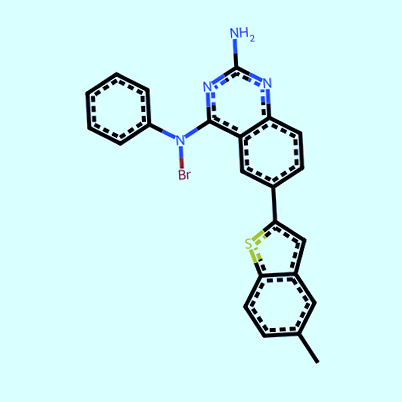 Cc1ccc2sc(-c3ccc4nc(N)nc(N(Br)c5ccccc5)c4c3)cc2c1